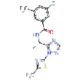 C[C@H](NC(=O)c1cc(Cl)cc(C(F)(F)F)c1)c1ncnn1C1=[N+]=C(C(F)(F)F)S1